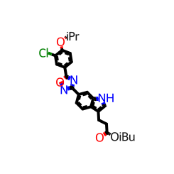 CC(C)COC(=O)CCc1c[nH]c2cc(-c3noc(-c4ccc(OC(C)C)c(Cl)c4)n3)ccc12